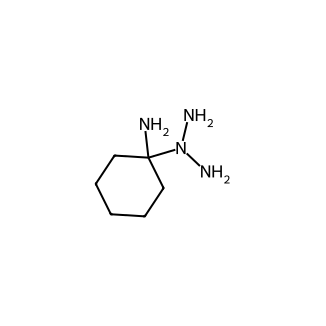 NN(N)C1(N)CCCCC1